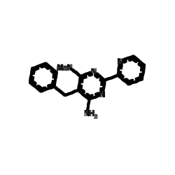 CNc1nc(-c2ccccn2)nc(N)c1Cc1ccccc1